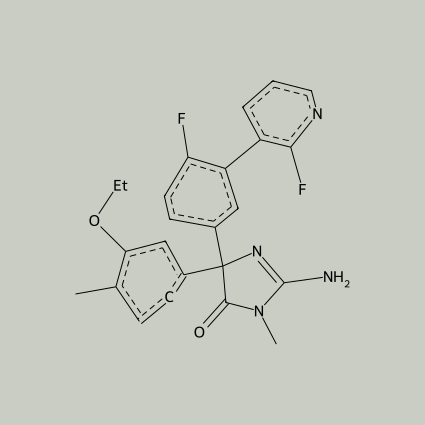 CCOc1cc(C2(c3ccc(F)c(-c4cccnc4F)c3)N=C(N)N(C)C2=O)ccc1C